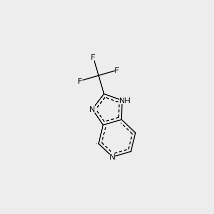 FC(F)(F)c1nc2[c]nccc2[nH]1